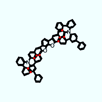 c1ccc(-c2ccc(N(c3ccc4cc5c(cc4c3)oc3c5ccc4c5cc6ccc(N(c7ccccc7-c7ccccc7)c7ccc(-c8ccccc8)cc7-c7ccccc7)cc6cc5oc43)c3ccccc3-c3ccccc3)c(-c3ccccc3)c2)cc1